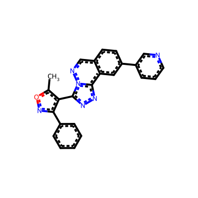 Cc1onc(-c2ccccc2)c1-c1nnc2c3cc(-c4cccnc4)ccc3cnn12